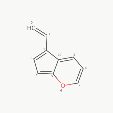 [CH]=Cc1ccc2occcc1-2